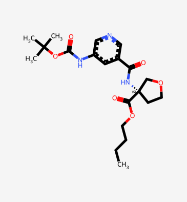 CCCCOC(=O)[C@]1(NC(=O)c2cncc(NC(=O)OC(C)(C)C)c2)CCOC1